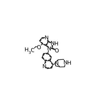 CCOc1ccnc2[nH]c(=O)n(-c3ccc4nccc(N5C6CCC5CNC6)c4c3)c12